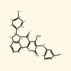 O=c1oc2c(c(O)c1Sc1cccc(F)c1)c(=O)n1c3c(cccc23)CC1c1ccc(F)cc1